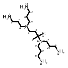 CCC(C)(CCN(CCCN)CCCN)N(CCCN)CCCN